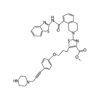 COC(=O)c1nc(N2CCc3cccc(C(=O)Nc4nc5ccccc5s4)c3C2)sc1CCCOc1ccc(C#CCN2CCNCC2)cc1